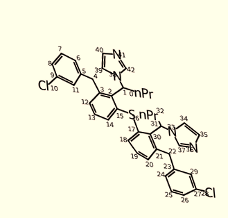 CCCC(c1c(Cc2cccc(Cl)c2)cccc1Sc1cccc(Cc2cccc(Cl)c2)c1C(CCC)n1ccnc1)n1ccnc1